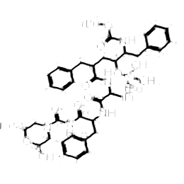 CC(C)C(NC(=O)C(Cc1ccccc1)CC(O[Si](C)(C)C(C)(C)C)C(Cc1ccccc1)NC(=O)OC(C)(C)C)C(=O)NC(Cc1ccccc1)C(=O)NC(=O)N1C[C@@H](C)O[C@H](C)C1